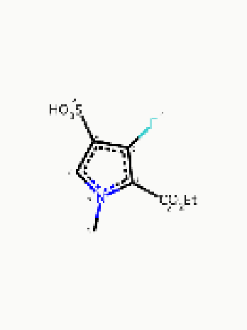 CCOC(=O)c1c(F)c(S(=O)(=O)O)cn1C